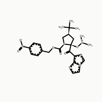 C[SiH](C)O[C@]1(C(=O)c2ncn3ccsc23)C[C@H](C(C)(C)C)CN1C(=O)OCc1ccc([N+](=O)[O-])cc1